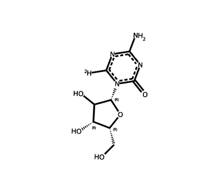 [2H]c1nc(N)nc(=O)n1[C@@H]1O[C@H](CO)[C@H](O)C1O